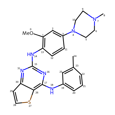 COc1cc(N2CCN(C)CC2)ccc1Nc1nc(Nc2cccc(C)c2)c2sccc2n1